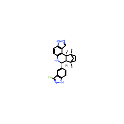 Fc1n[nH]c2ccc([C@@H]3Nc4ccc5[nH]ncc5c4[C@H]4[C@@H]5CC[C@@H](C5)[C@H]43)cc12